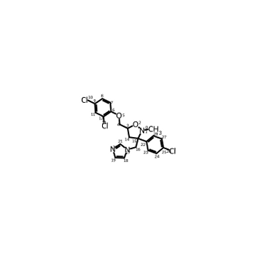 CN1OC(COc2ccc(Cl)cc2Cl)CC1(Cn1ccnc1)c1ccc(Cl)cc1